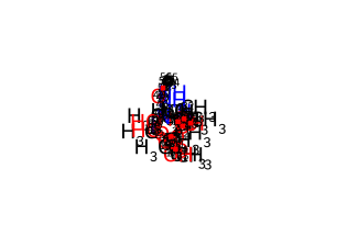 CC[C@H]1OC(=O)[C@H](C)[C@@H](O[C@H]2C[C@@](C)(OC)[C@@H](O)[C@H](C)O2)[C@H](C)[C@@H](O[C@@H]2O[C@H](C)C[C@H](N(C)C)[C@H]2O)[C@](C)(O)C[C@@H](C)CN(CCCNC(=O)NCc2ccccc2)[C@H](C)[C@@H](O)[C@@]1(O)I